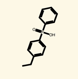 CCc1ccc(P(=O)(O)c2ccccc2)cc1